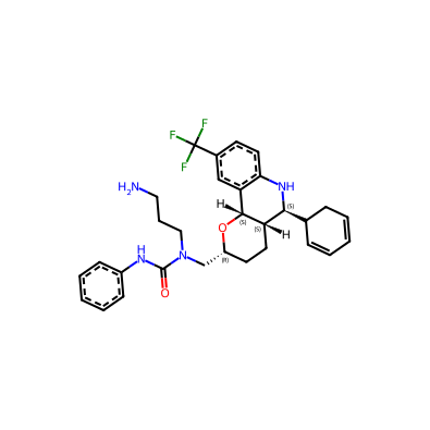 NCCCN(C[C@H]1CC[C@@H]2[C@H](O1)c1cc(C(F)(F)F)ccc1N[C@H]2C1C=CC=CC1)C(=O)Nc1ccccc1